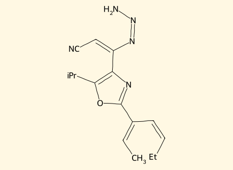 C/C=C(\C=C/CC)c1nc(C(=C\C#N)/N=N\N)c(C(C)C)o1